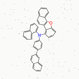 c1ccc2cc(-c3ccc(N(c4cccc5ccccc45)c4cccc5oc6c7ccccc7ccc6c45)cc3)ccc2c1